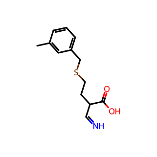 Cc1cccc(CSCCC(C=N)C(=O)O)c1